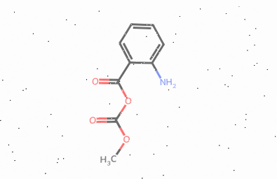 COC(=O)OC(=O)c1ccccc1N